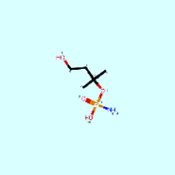 CC(C)(CCO)OP(N)(=O)O